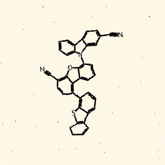 N#Cc1ccc2c3ccccc3n(-c3cccc4c3oc3c(C#N)ccc(-c5cccc6c7c(sc56)CCC=C7)c34)c2c1